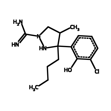 CCCCC1(c2cccc(Cl)c2O)NN(C(=N)N)CC1C